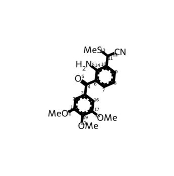 COc1cc(C(=O)c2cccc(C(C#N)SC)c2N)cc(OC)c1OC